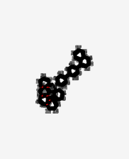 C1=CCC(c2ccccc2-c2ccccc2)(N(c2ccccc2)c2ccc(-c3ccc(-c4cccc5ccccc45)cc3)cc2)C(c2ccccc2)=C1